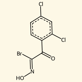 O=C(C(Br)=NO)c1ccc(Cl)cc1Cl